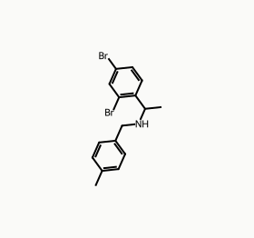 Cc1ccc(CNC(C)c2ccc(Br)cc2Br)cc1